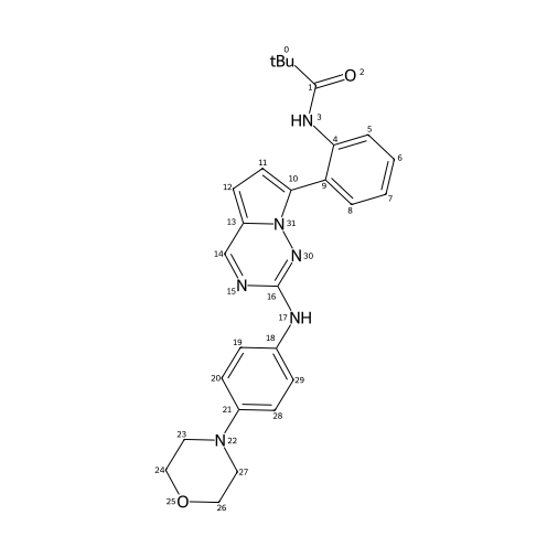 CC(C)(C)C(=O)Nc1ccccc1-c1ccc2cnc(Nc3ccc(N4CCOCC4)cc3)nn12